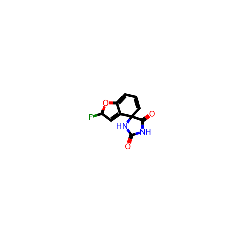 O=C1NC(=O)C2(C=CC=C3OC(F)C=C32)N1